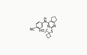 N#Cc1ccc(Nc2nc(SC3(C(=O)O)CCC3)nc3c2CCC3)cc1